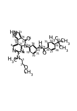 COCCN(C)c1ncc2c3n[nH]cc3c(=O)n(-c3cccc(NC(=O)c4ccc(C(C)(C)C)cc4)c3)c2n1